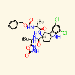 CCC(C)C(NC(=O)OCc1ccccc1)C(=O)N[C@]1(C(=O)NC(c2n[nH]c(=O)o2)C(C)CC)CCc2[nH]c3c(Cl)cc(Cl)cc3c2C1